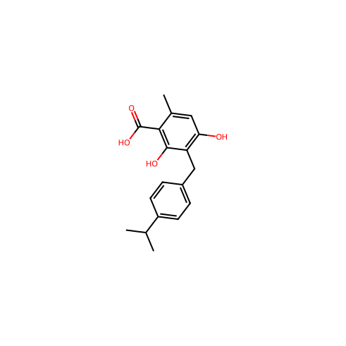 Cc1cc(O)c(Cc2ccc(C(C)C)cc2)c(O)c1C(=O)O